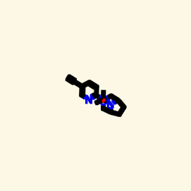 C#Cc1ccc(N2CC3CCC(C2)N3C(C)C)nc1